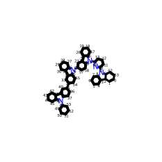 C1=CC2c3ccccc3N(c3cccc(-n4c5ccccc5c5cc(-n6c7ccccc7c7cc(-c8ccc9c(c8)c8ccccc8n9-c8ccccc8)ccc76)ccc54)n3)C2C=C1